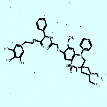 CCCCC1(CCCC)CN(c2ccccc2)c2cc(SC)c(OCC(=O)NC(C(=O)NCCc3cc(O)c(O)c(O)c3)c3ccccc3)cc2S(=O)(=O)N1